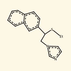 CCSC(Cn1ccnc1)c1ccc2ccccc2c1